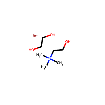 C[N+](C)(C)CCO.OCCO.[Br-]